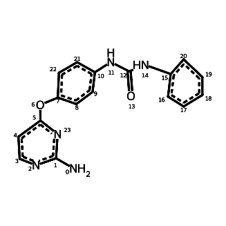 Nc1nccc(Oc2ccc(NC(=O)Nc3ccccc3)cc2)n1